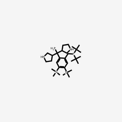 CC(C)(C)P(Cc1cc([Si](C)(C)C)c([Si](C)(C)C)cc1C(P)(C1CCNC1)C1CCNC1)C(C)(C)C